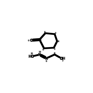 O=C1CCCCC1.OCN=NO